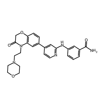 NC(=O)c1cccc(Nc2cc(-c3ccc4c(c3)N(CCN3CCOCC3)C(=O)CO4)ccn2)c1